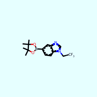 CC1(C)OB(c2ccc3c(c2)ncn3CC(F)(F)F)OC1(C)C